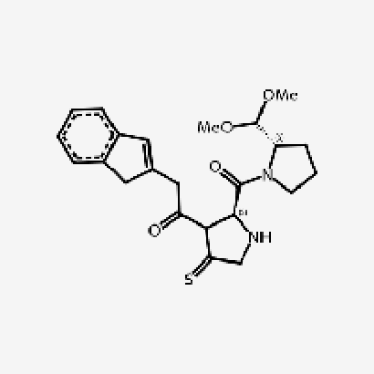 COC(OC)[C@@H]1CCCN1C(=O)[C@H]1NCC(=S)C1C(=O)CC1=Cc2ccccc2C1